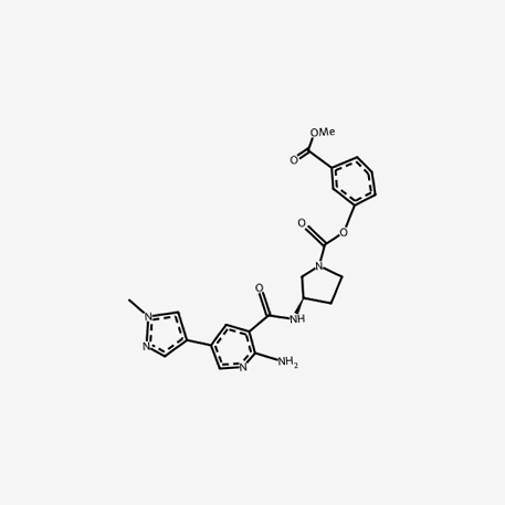 COC(=O)c1cccc(OC(=O)N2CC[C@@H](NC(=O)c3cc(-c4cnn(C)c4)cnc3N)C2)c1